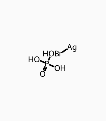 O=P(O)(O)O.[Br][Ag]